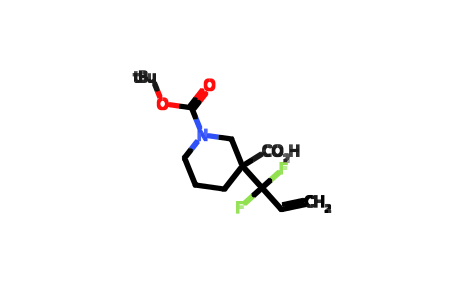 C=CC(F)(F)C1(C(=O)O)CCCN(C(=O)OC(C)(C)C)C1